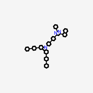 c1ccc(-c2ccc(-c3ccc4c(c3)c3cc(-c5ccc(-c6ccccc6)cc5)ccc3n4-c3ccc(-c4ccc(-c5cc(-c6cccc7ccccc67)nc(-c6ccccc6)n5)cc4)cc3)cc2)cc1